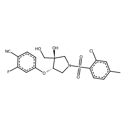 Cc1ccc(S(=O)(=O)N2C[C@H](Oc3ccc(C#N)c(F)c3)[C@](O)(CO)C2)c(Cl)c1